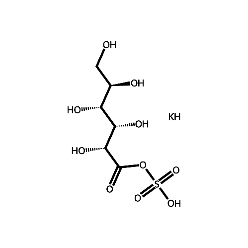 O=C(OS(=O)(=O)O)[C@H](O)[C@@H](O)[C@H](O)[C@H](O)CO.[KH]